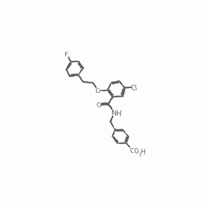 O=C(O)c1ccc(CNC(=O)c2cc(Cl)ccc2OCCc2ccc(F)cc2)cc1